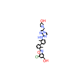 Cc1c(Nc2nccn3c(CN4CC[C@H](O)C4)cnc23)cccc1-c1cccc(-c2nc3cc(CO)cc(Cl)c3o2)c1C